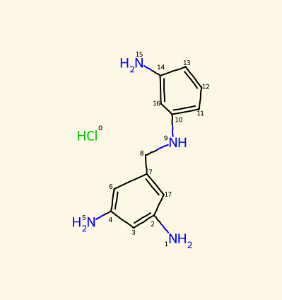 Cl.Nc1cc(N)cc(CNc2cccc(N)c2)c1